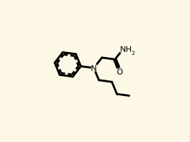 CCCCN(CC(N)=O)c1ccccc1